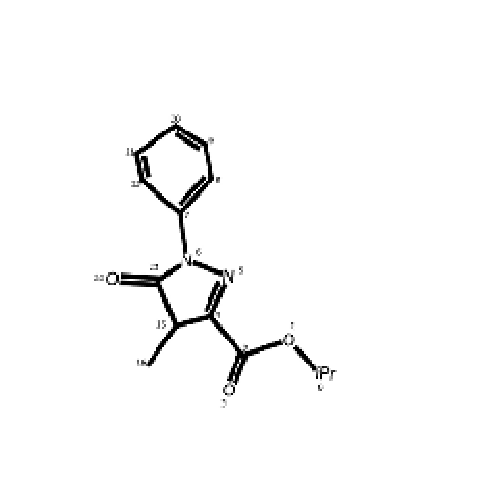 CC(C)OC(=O)C1=NN(c2ccccc2)C(=O)C1C